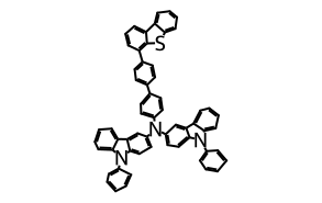 c1ccc(-n2c3ccccc3c3cc(N(c4ccc(-c5ccc(-c6cccc7c6sc6ccccc67)cc5)cc4)c4ccc5c(c4)c4ccccc4n5-c4ccccc4)ccc32)cc1